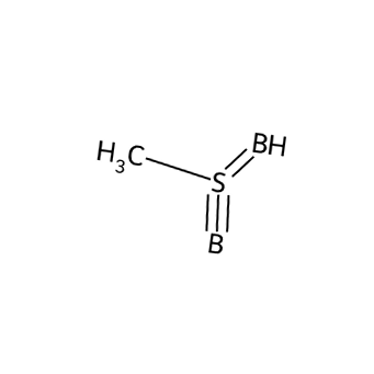 B#S(=B)C